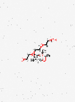 CC(C)OS(=O)(=O)O.CCOCC.OCCOCCOCCO